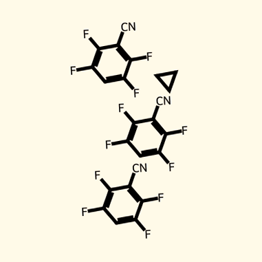 C1CC1.N#Cc1c(F)c(F)cc(F)c1F.N#Cc1c(F)c(F)cc(F)c1F.N#Cc1c(F)c(F)cc(F)c1F